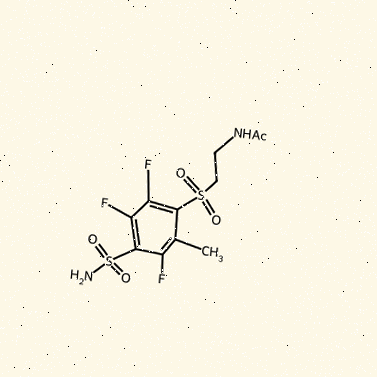 CC(=O)NCCS(=O)(=O)c1c(C)c(F)c(S(N)(=O)=O)c(F)c1F